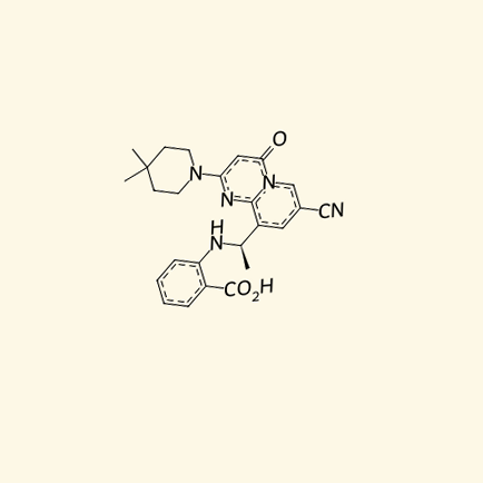 C[C@@H](Nc1ccccc1C(=O)O)c1cc(C#N)cn2c(=O)cc(N3CCC(C)(C)CC3)nc12